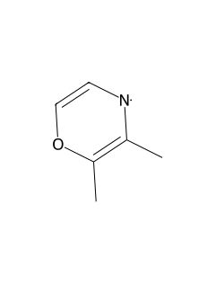 CC1=C(C)OC=C[N]1